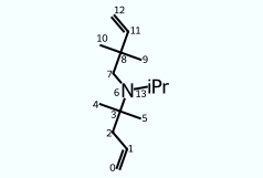 C=CCC(C)(C)N(CC(C)(C)C=C)C(C)C